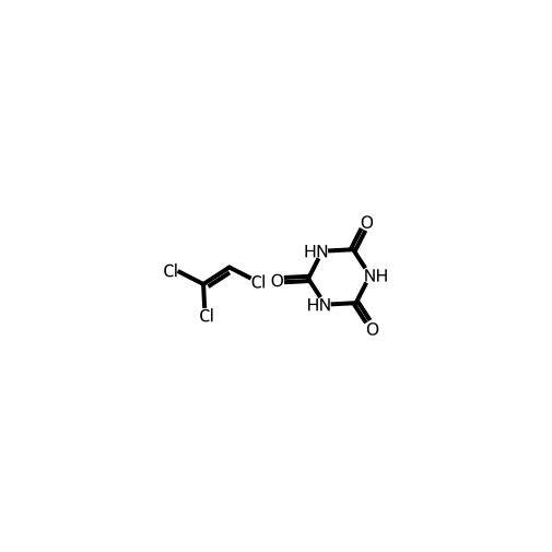 ClC=C(Cl)Cl.O=c1[nH]c(=O)[nH]c(=O)[nH]1